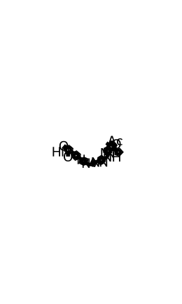 CC(=O)c1c(C)c2cnc(Nc3ccc(N4CC(CN5CCN(c6ccc(C7CCC(=O)NC7=O)cc6)CC5)C4)cn3)nc2n(C2CCCC2)c1=O